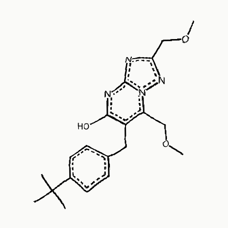 COCc1nc2nc(O)c(Cc3ccc(C(C)(C)C)cc3)c(COC)n2n1